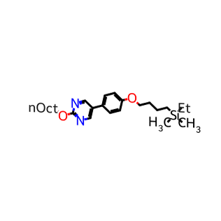 CCCCCCCCOc1ncc(-c2ccc(OCCCC[Si](C)(C)CC)cc2)cn1